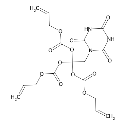 C=CCOC(=O)OC(Cn1c(=O)[nH]c(=O)[nH]c1=O)(OC(=O)OCC=C)OC(=O)OCC=C